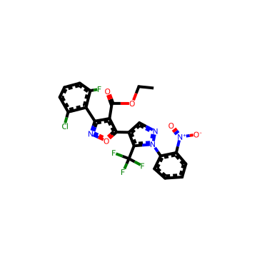 CCOC(=O)c1c(-c2c(F)cccc2Cl)noc1-c1cnn(-c2ccccc2[N+](=O)[O-])c1C(F)(F)F